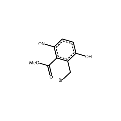 COC(=O)c1c(N=O)ccc(O)c1CBr